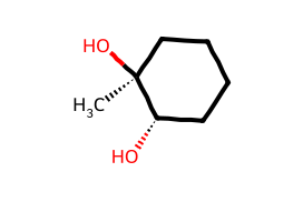 C[C@]1(O)CCCC[C@@H]1O